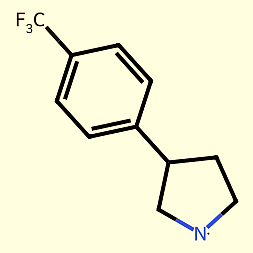 FC(F)(F)c1ccc(C2CC[N]C2)cc1